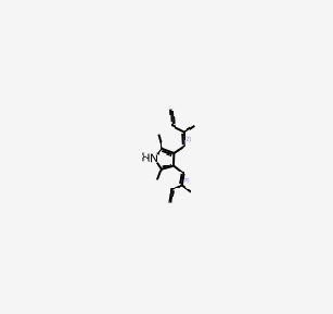 C=C/C(C)=C\c1c(C)[nH]c(C)c1/C=C(/C)C=C